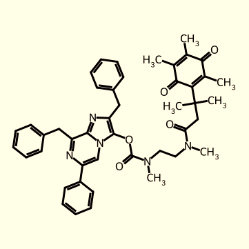 CC1=C(C)C(=O)C(C(C)(C)CC(=O)N(C)CCN(C)C(=O)Oc2c(Cc3ccccc3)nc3c(Cc4ccccc4)nc(-c4ccccc4)cn23)=C(C)C1=O